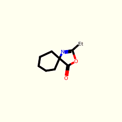 CCC1=NC2(CCCCC2)C(=O)O1